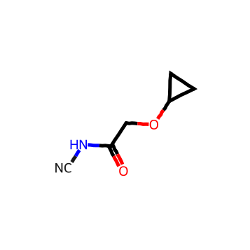 N#CNC(=O)COC1CC1